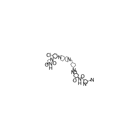 COc1cc2nn([C@H]3CC[C@H](CN4CCC5(CC4)CCN(c4ccc(Cl)c(N6CCC(=O)NC6=O)c4)CC5)CC3)cc2cc1NC(=O)c1cncc(C#N)c1